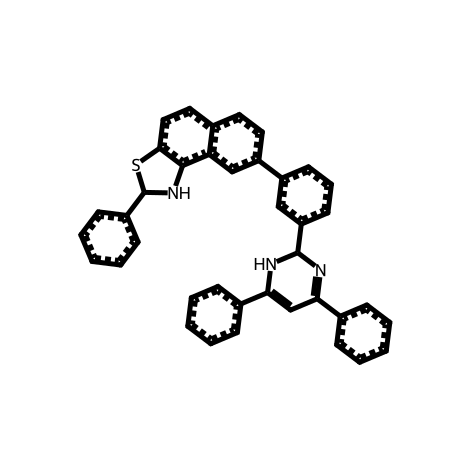 C1=C(c2ccccc2)NC(c2cccc(-c3ccc4ccc5c(c4c3)NC(c3ccccc3)S5)c2)N=C1c1ccccc1